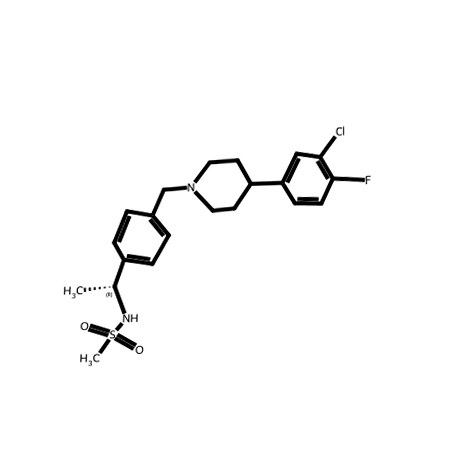 C[C@@H](NS(C)(=O)=O)c1ccc(CN2CCC(c3ccc(F)c(Cl)c3)CC2)cc1